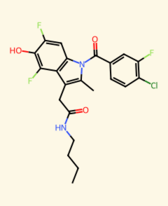 CCCCNC(=O)Cc1c(C)n(C(=O)c2ccc(Cl)c(F)c2)c2cc(F)c(O)c(F)c12